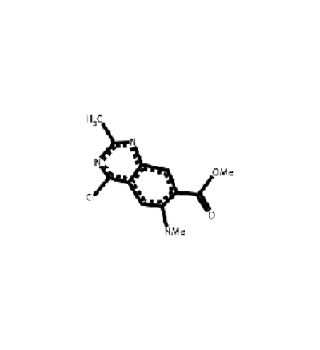 CNc1cc2c(Cl)nc(C)nc2cc1C(=O)OC